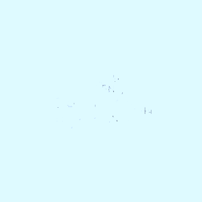 CC1(C)OCC(COc2ncc(Br)cc2[N+](=O)[O-])O1